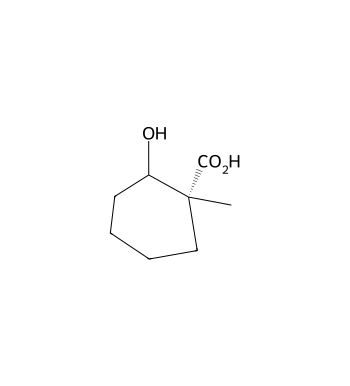 C[C@@]1(C(=O)O)CCCCC1O